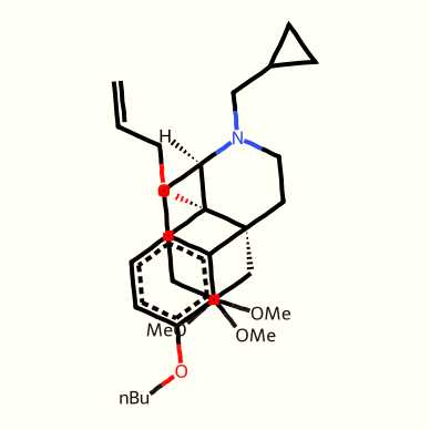 C=CCO[C@@]12CCC(OC)(OC)C[C@@]13CCN(CC1CC1)[C@@H]2Cc1ccc(OCCCC)c(OC)c13